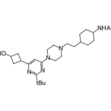 CC(=O)NC1CCC(CCN2CCN(c3cc(C4CC(O)C4)nc(C(C)(C)C)n3)CC2)CC1